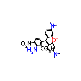 CN(C)c1ccc2c(-c3ccc([N+](=O)[O-])c(N)c3C(=O)O)c3ccc(N(C)C)cc3[o+]c2c1